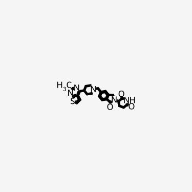 Cc1nc(C2CCN(Cc3ccc4c(c3)CN(C3CCC(=O)NC3=O)C4=O)CC2)c2ccsc2n1